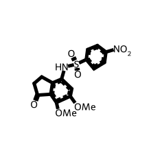 COc1cc(NS(=O)(=O)c2ccc([N+](=O)[O-])cc2)c2c(c1OC)C(=O)CC2